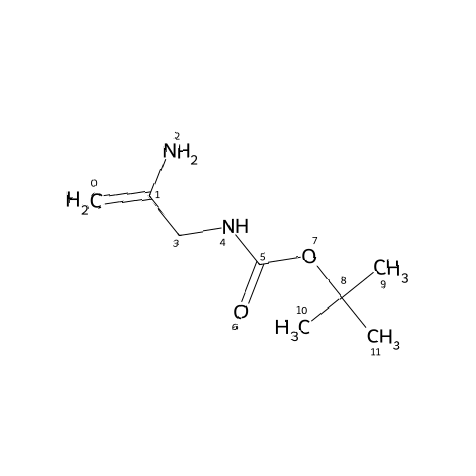 C=C(N)CNC(=O)OC(C)(C)C